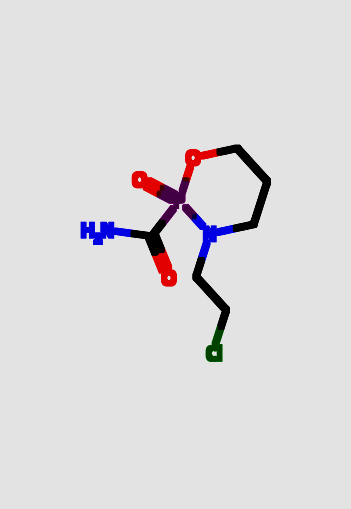 NC(=O)P1(=O)OCCCN1CCCl